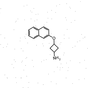 NC1CC(Oc2ccc3ccccc3c2)C1